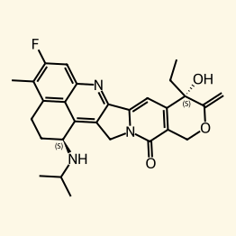 C=C1OCc2c(cc3n(c2=O)Cc2c-3nc3cc(F)c(C)c4c3c2[C@@H](NC(C)C)CC4)[C@@]1(O)CC